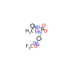 Cc1ccccc1C(=O)Nc1c(NCc2ccc(-c3noc(C(F)(F)F)n3)cc2)c(=O)c1=O